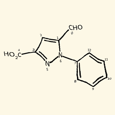 O=Cc1cc(C(=O)O)nn1-c1ccccc1